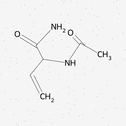 C=CC(NC(C)=O)C(N)=O